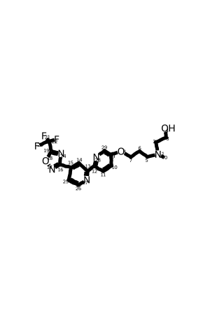 CN(CCO)CCCOc1ccc(-c2cc(-c3noc(C(F)(F)F)n3)ccn2)nc1